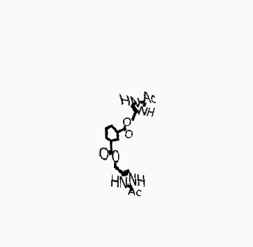 CC(=O)C1NC=C(COC(=O)C2CCCC(C(=O)OCC3=CNC(C(C)=O)N3)C2)N1